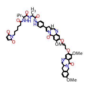 COc1ccc2c(c1)CN1C(=O)c3cc(OC)c(OCCCOc4cc5c(cc4OC)C(=O)N4C=C(c6ccc(NC(=O)[C@H](C)NC(=O)[C@@H](NC(=O)CCCCCN7C(=O)C=CC7=O)C(C)C)cc6)C[C@H]4C=N5)cc3N=CC1C2